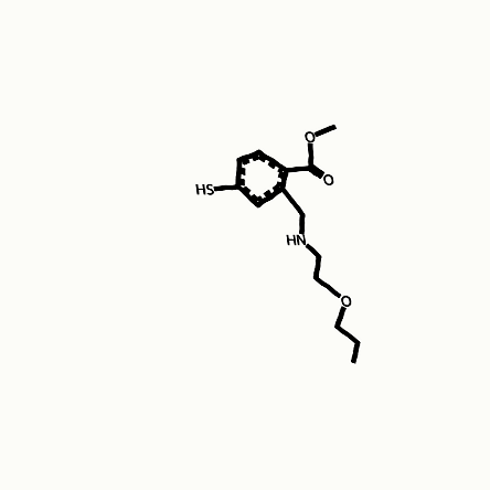 CCCOCCNCc1cc(S)ccc1C(=O)OC